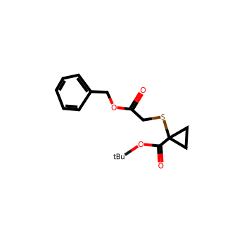 CC(C)(C)OC(=O)C1(SCC(=O)OCc2ccccc2)CC1